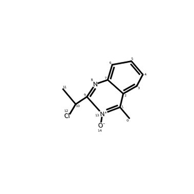 Cc1c2ccccc2nc(C(C)Cl)[n+]1[O-]